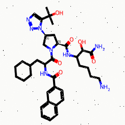 CC(C)(O)c1cnnn1[C@H]1C[C@@H](C(=O)NC(CCCCN)C(O)C(N)=O)N(C(=O)C(CC2CCCCC2)NC(=O)c2ccc3ccccc3c2)C1